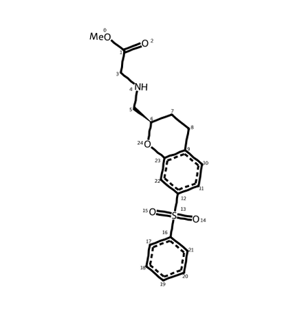 COC(=O)CNC[C@H]1CCc2ccc(S(=O)(=O)c3ccccc3)cc2O1